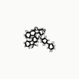 CC1(C)c2ccccc2-c2ccc(N(c3ccc(-c4ccccc4)cc3)c3cncc4oc5cc6ccccc6cc5c34)cc21